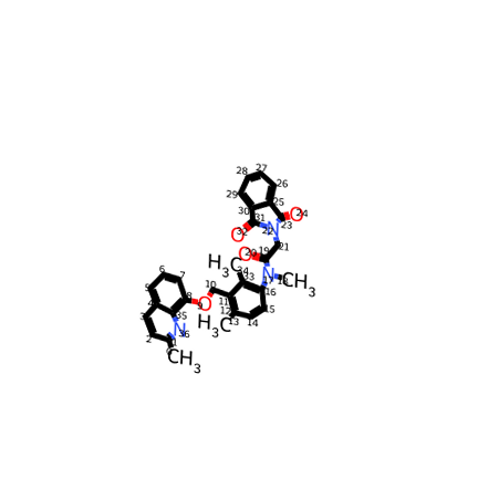 Cc1ccc2cccc(OCc3c(C)ccc(N(C)C(=O)CN4C(=O)c5ccccc5C4=O)c3C)c2n1